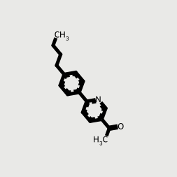 CCCCc1ccc(-c2ccc(C(C)=O)cn2)cc1